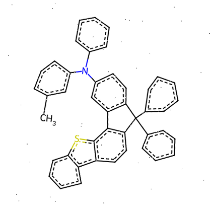 Cc1cccc(N(c2ccccc2)c2ccc3c(c2)-c2c(ccc4c2sc2ccccc24)C3(c2ccccc2)c2ccccc2)c1